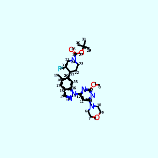 COc1nc(N2CCOCC2)cc(-n2ncc3cc(C)c(C4CCN(C(=O)OC(C)(C)C)CC4F)cc32)n1